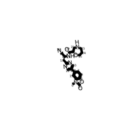 Cn1c(=O)oc2ccc(-c3cnc(C[C@@H](C#N)NC(=O)C4CNCCCO4)nc3)cc21